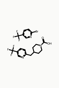 FC(F)(F)c1ccc(Br)nc1.O=C(O)N1CCC(Cc2ccc(C(F)(F)F)cn2)CC1